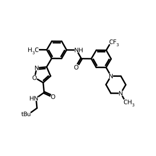 Cc1ccc(NC(=O)c2cc(N3CCN(C)CC3)cc(C(F)(F)F)c2)cc1-c1cc(C(=O)NCC(C)(C)C)on1